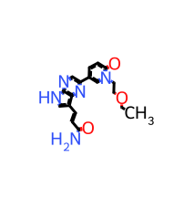 CCOCCn1cc(-c2cnc3[nH]cc(C=CC(N)=O)c3n2)ccc1=O